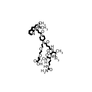 CNC(=O)[C@H](CCCNC(N)=O)NC(=O)[C@@H](NC(=O)CCC(=O)N(CCOCCOCCC(=O)O)C1CCN(C(=O)CCn2c(CN(C)NC)cc3cccnc32)CC1)C(C)C